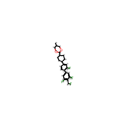 CC1COC(C2CCC(c3ccc(-c4cc(F)c(CF)c(F)c4)c(F)c3)CC2)OC1